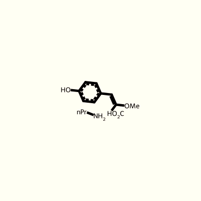 CCCN.COC(=Cc1ccc(O)cc1)C(=O)O